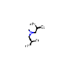 CCCC(CC)CN(C)CC(CC)CCC